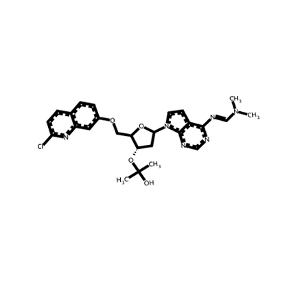 CN(C)/C=N/c1ncnc2c1ccn2C1C[C@H](OC(C)(C)O)C(COc2ccc3ccc(Cl)nc3c2)O1